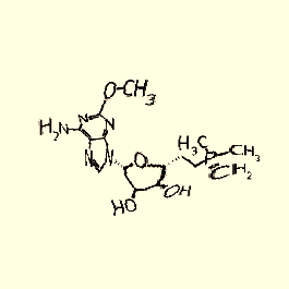 C=P(C)(C)CC[C@H]1O[C@@H](n2cnc3c(N)nc(OC)nc32)[C@H](O)[C@@H]1O